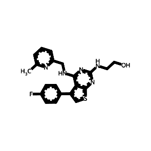 Cc1cccc(CNc2nc(NCCO)nc3scc(-c4ccc(F)cc4)c23)n1